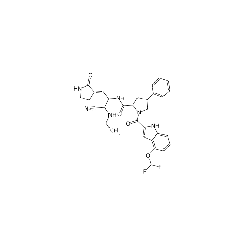 CCNC(C#N)C(CC1CCNC1=O)NC(=O)C1CC(c2ccccc2)CN1C(=O)c1cc2c(OC(F)F)cccc2[nH]1